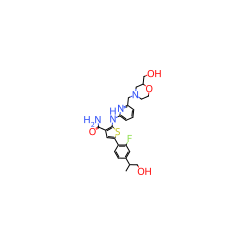 CC(CO)c1ccc(-c2cc(C(N)=O)c(Nc3cccc(CN4CCOC(CO)C4)n3)s2)c(F)c1